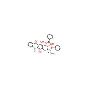 CC(=O)OC[C@]1(OB(O)c2ccccc2)Cc2c(O)c3c(c(O)c2[C@@H](OB(O)c2ccccc2)C1)C(=O)c1ccccc1C3=O